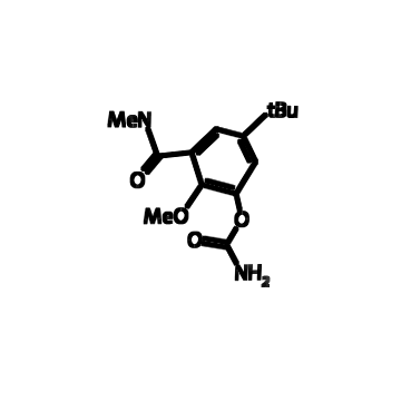 CNC(=O)c1cc(C(C)(C)C)cc(OC(N)=O)c1OC